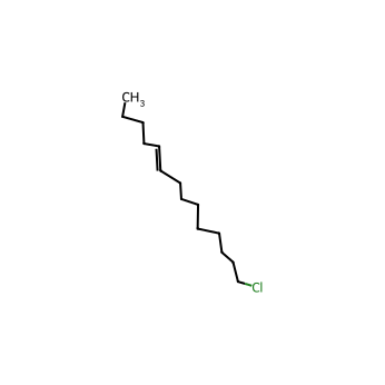 CCCC/C=C/CCCCCCCCCl